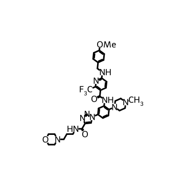 COc1ccc(CNc2ccc(C(=O)Nc3cc(-n4cc(C(=O)NCCCN5CCOCC5)nn4)ccc3N3CCN(C)CC3)c(C(F)(F)F)n2)cc1